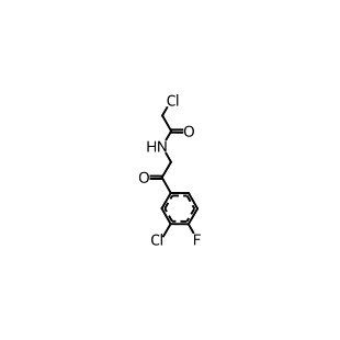 O=C(CCl)NCC(=O)c1ccc(F)c(Cl)c1